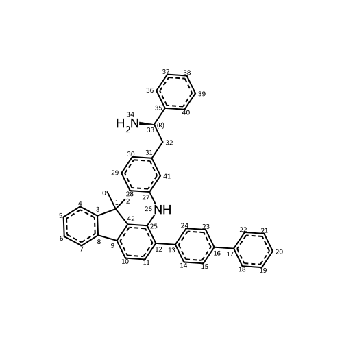 CC1(C)c2ccccc2-c2ccc(-c3ccc(-c4ccccc4)cc3)c(Nc3cccc(C[C@@H](N)c4ccccc4)c3)c21